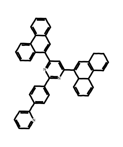 C1=CC2C(c3cc(-c4cc5ccccc5c5ccccc45)nc(-c4ccc(-c5ccccn5)cc4)n3)=CC3=C(C=CCC3)C2C=C1